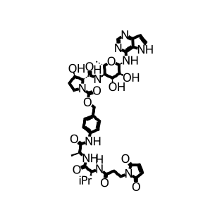 CC(C)[C@H](NC(=O)CCN1C(=O)C=CC1=O)C(=O)N[C@@H](C)C(=O)Nc1ccc(COC(=O)N2CC[C@H](O)[C@@H]2C(=O)N[C@@H]2[C@@H](O)[C@H](O)[C@@H](Nc3ncnc4cc[nH]c34)O[C@H]2C)cc1